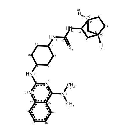 CN(C)c1nc(NC2CCC(NC(=S)NC3C[C@H]4CC[C@H]3C4)CC2)nc2ccccc12